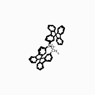 Cc1ccc2c(c1)C1(c3ccccc3-2)c2ccccc2-c2ccc([S+]([O-])c3ccc4c(c3)C3(c5ccccc5-c5ccccc53)c3ccccc3-4)cc21